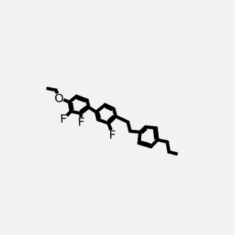 CCCc1ccc(CCc2ccc(-c3ccc(OCC)c(F)c3F)cc2F)cc1